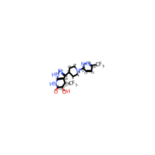 O=C1Nc2[nH]nc(C3CCN(c4ccc(C(F)(F)F)nn4)CC3)c2[C@H](C(F)(F)F)[C@H]1O